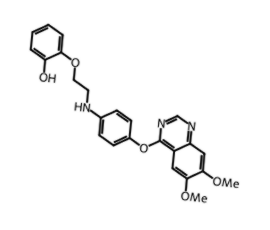 COc1cc2ncnc(Oc3ccc(NCCOc4ccccc4O)cc3)c2cc1OC